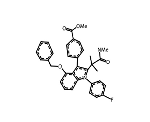 CNC(=O)C(C)(C)c1c(-c2ccc(C(=O)OC)cc2)c2c(OCc3ccccc3)cccc2n1-c1ccc(F)cc1